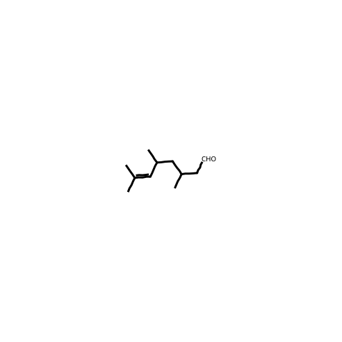 CC(C)=CC(C)CC(C)CC=O